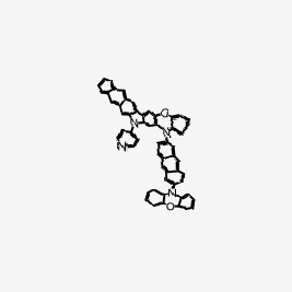 c1ccc2c(c1)Oc1ccccc1N2c1ccc2cc3cc(N4c5ccccc5Oc5cc6c7cc8cc9ccccc9cc8cc7n(-c7ccncc7)c6cc54)ccc3cc2c1